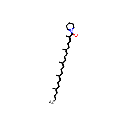 CC(=O)CC/C=C(\C)CC/C=C(\C)CC/C=C(\C)CC/C=C(\C)CC/C=C(\C)C(=O)N1CCCCC1